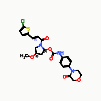 CO[C@@H]1C[C@@H](OC(=O)Nc2ccc(N3CCOCC3=O)cc2)N(C(=O)/C=C/c2ccc(Cl)s2)C1